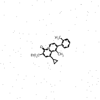 CCOC(=O)c1cc(C2CC2)c2c(C)c(-c3ccccc3C)ccn2c1=O